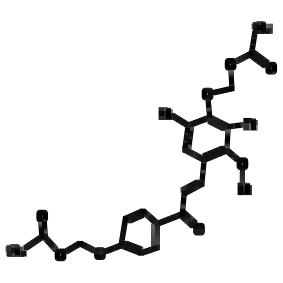 CCOc1c(/C=C/C(=O)c2ccc(OCOC(=O)C(C)(C)C)cc2)cc(CC)c(OCOC(=O)C(C)(C)C)c1CC